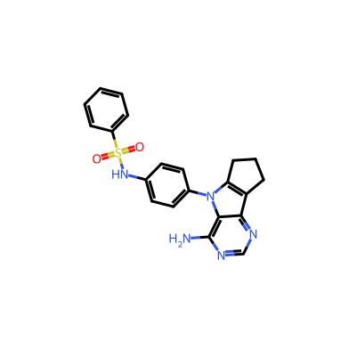 Nc1ncnc2c3c(n(-c4ccc(NS(=O)(=O)c5ccccc5)cc4)c12)CCC3